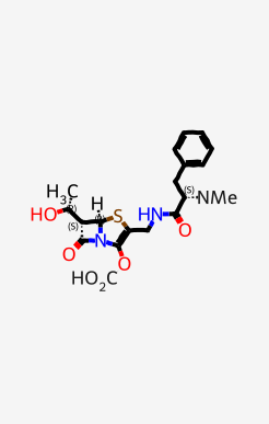 CN[C@@H](Cc1ccccc1)C(=O)NCC1=C(OC(=O)O)N2C(=O)[C@H]([C@@H](C)O)[C@H]2S1